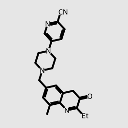 CCC1=Nc2c(C)cc(CN3CCN(c4ccc(C#N)nc4)CC3)cc2CC1=O